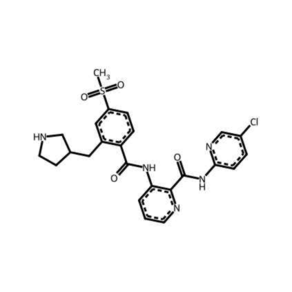 CS(=O)(=O)c1ccc(C(=O)Nc2cccnc2C(=O)Nc2ccc(Cl)cn2)c(CC2CCNC2)c1